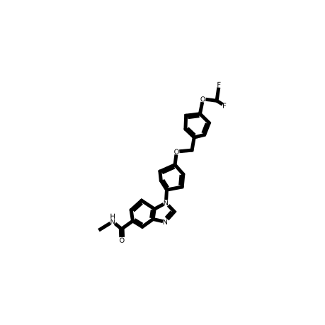 CNC(=O)c1ccc2c(c1)ncn2-c1ccc(OCc2ccc(OC(F)F)cc2)cc1